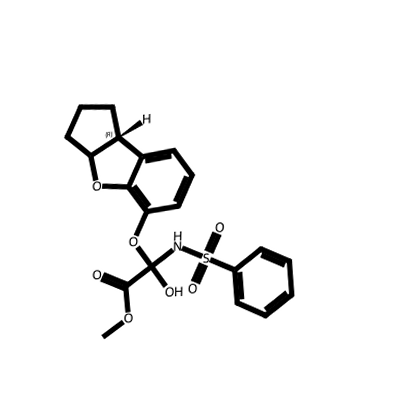 COC(=O)C(O)(NS(=O)(=O)c1ccccc1)Oc1cccc2c1OC1CCC[C@H]21